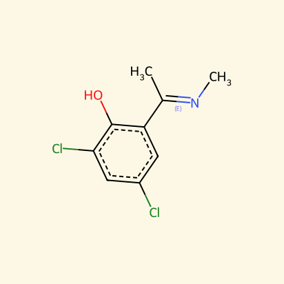 C/N=C(\C)c1cc(Cl)cc(Cl)c1O